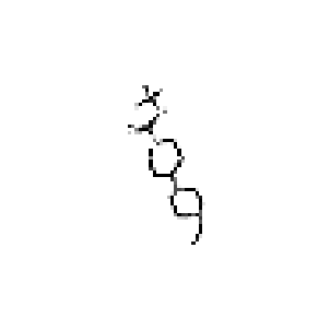 CCN1CCN(C2CCN(C(=O)OC(C)(C)C)CC2)CC1